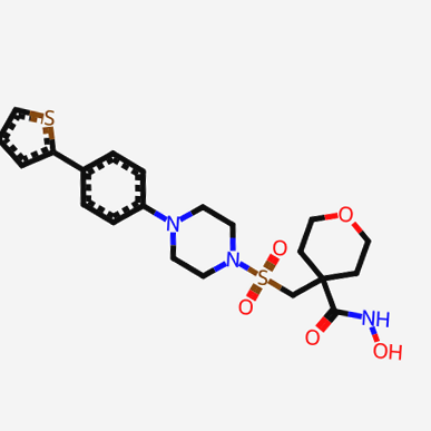 O=C(NO)C1(CS(=O)(=O)N2CCN(c3ccc(-c4cccs4)cc3)CC2)CCOCC1